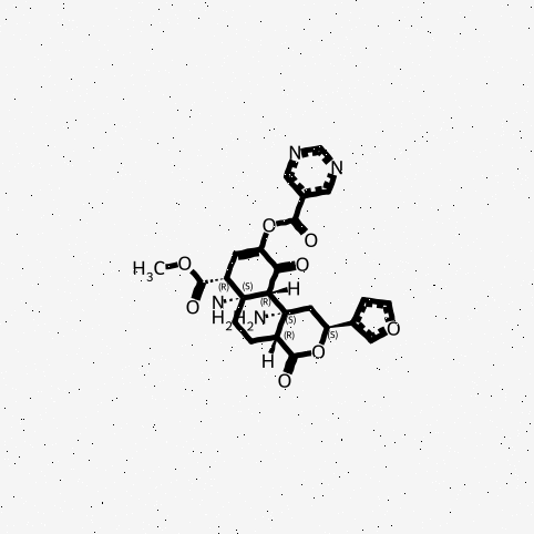 COC(=O)[C@@H]1C=C(OC(=O)c2cncnc2)C(=O)[C@H]2[C@@]1(N)CC[C@H]1C(=O)O[C@H](c3ccoc3)C[C@]21N